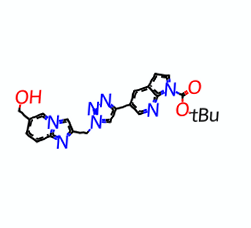 CC(C)(C)OC(=O)n1ccc2cc(-c3cn(Cc4cn5cc(CO)ccc5n4)nn3)cnc21